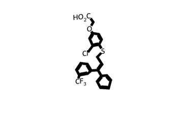 O=C(O)COc1ccc(SC/C=C(/c2ccccc2)c2cccc(C(F)(F)F)c2)c(Cl)c1